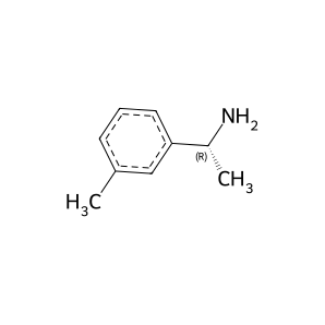 Cc1cccc([C@@H](C)N)c1